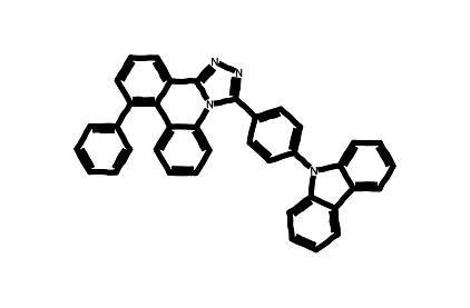 c1ccc(-c2cccc3c2c2ccccc2n2c(-c4ccc(-n5c6ccccc6c6ccccc65)cc4)nnc32)cc1